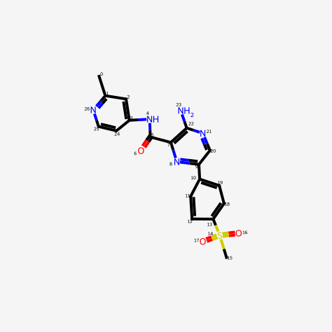 Cc1cc(NC(=O)c2nc(-c3ccc(S(C)(=O)=O)cc3)cnc2N)ccn1